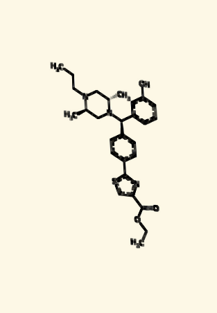 CCCN1C[C@H](C)N([C@H](c2ccc(-c3nc(C(=O)OCC)cs3)cc2)c2cccc(O)c2)C[C@H]1C